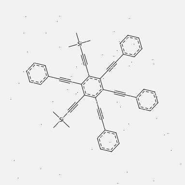 C[Si](C)(C)C#Cc1c(C#Cc2ccccc2)c(C#Cc2ccccc2)c(C#Cc2ccccc2)c(C#C[Si](C)(C)C)c1C#Cc1ccccc1